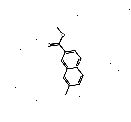 COC(=O)c1ccc2ccc(C)cc2c1